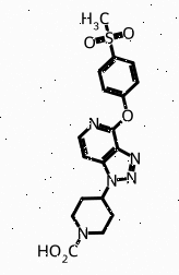 CS(=O)(=O)c1ccc(Oc2nccc3c2nnn3C2CCN(C(=O)O)CC2)cc1